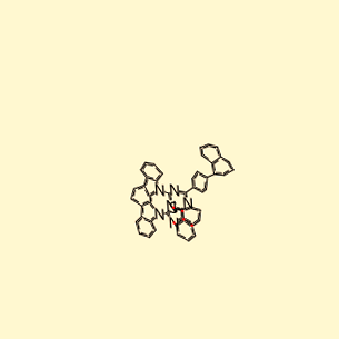 c1ccc(-c2nc(-c3ccc(-c4cccc5ccccc45)cc3)nc(-n3c4ccccc4c4ccc5c6ccccc6n(-c6nc7ccccc7s6)c5c43)n2)cc1